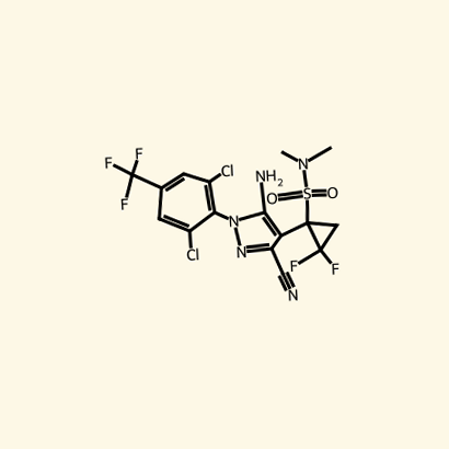 CN(C)S(=O)(=O)C1(c2c(C#N)nn(-c3c(Cl)cc(C(F)(F)F)cc3Cl)c2N)CC1(F)F